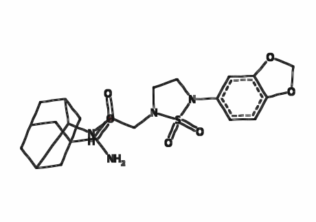 NC(=O)C12CC3CC(C1)C(NC(=O)CN1CCN(c4ccc5c(c4)OCO5)S1(=O)=O)C(C3)C2